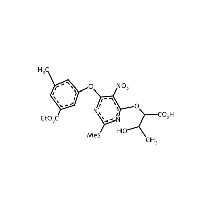 CCOC(=O)c1cc(C)cc(Oc2nc(SC)nc(OC(C(=O)O)C(C)O)c2[N+](=O)[O-])c1